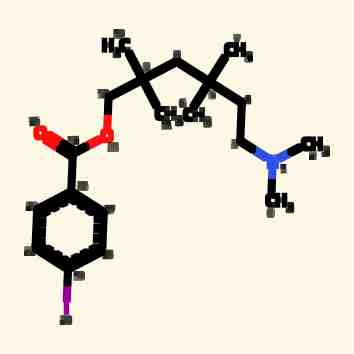 CN(C)CCC(C)(C)CC(C)(C)COC(=O)c1ccc(I)cc1